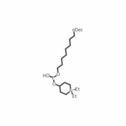 CCCCCCCCCCCCCCCCCCOP(O)OC1CC[N+](CC)(CC)CC1